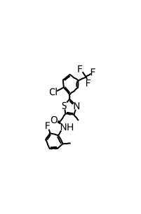 Cc1cccc(F)c1NC(=O)c1sc(-c2cc(C(F)(F)F)ccc2Cl)nc1C